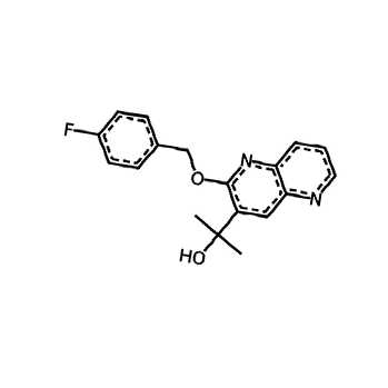 CC(C)(O)c1cc2ncccc2nc1OCc1ccc(F)cc1